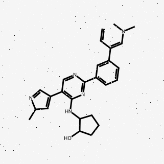 C=C/C(=C\N(C)C)c1cccc(-c2ncc(C3=CC(C)N=C3)c(NC3CCCC3O)n2)c1